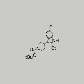 CCc1[nH]c2cc(F)ccc2c1C1CCN(C(=O)OC(C)(C)C)CC1